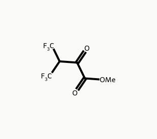 COC(=O)C(=O)C(C(F)(F)F)C(F)(F)F